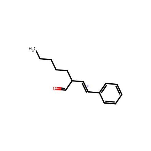 CCCCCC(C=O)/C=C/c1ccccc1